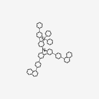 c1ccc(-c2ccc3c(c2)[Si](c2ccccc2)(c2ccccc2)c2cc(-n4c5ccc(-c6ccc(-c7cccc8ccccc78)cc6)cc5c5cc(-c6ccc(-c7cccc8ccccc78)cc6)ccc54)ccc2-3)cc1